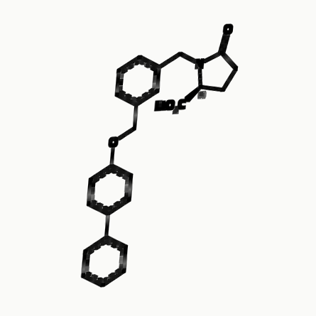 CCOC(=O)[C@@H]1CCC(=O)N1Cc1cccc(COc2ccc(-c3ccccc3)cc2)c1